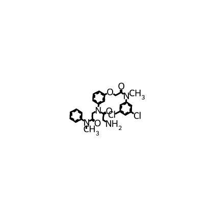 CN(C(=O)COc1cccc(N(CC(=O)N(C)c2ccccc2)C(=O)CN)c1)c1cc(Cl)cc(Cl)c1